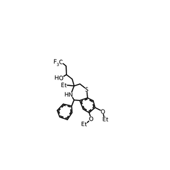 CCOc1cc2c(cc1OCC)C(c1ccccc1)NC(CC)(CC(O)CC(F)(F)F)CS2